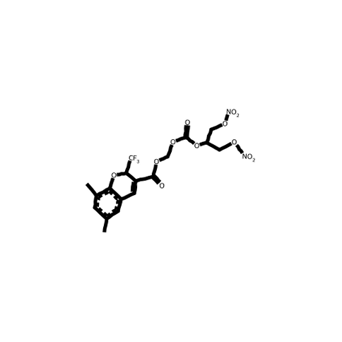 Cc1cc(C)c2c(c1)C=C(C(=O)OCOC(=O)OC(CO[N+](=O)[O-])CO[N+](=O)[O-])C(C(F)(F)F)O2